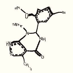 CCCOc1ccc(Br)cc1C1NC(=O)c2c(C)n[nH]c2N1CCC